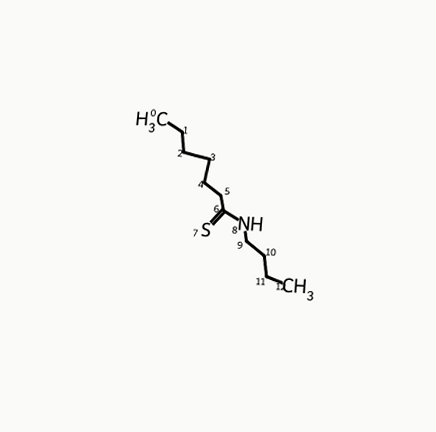 CCCCCCC(=S)NCCCC